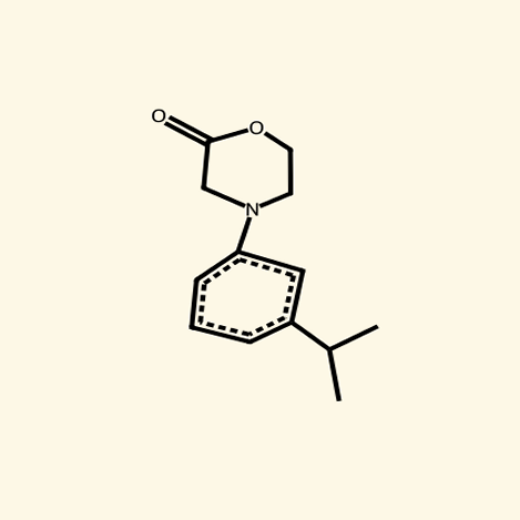 CC(C)c1cccc(N2CCOC(=O)C2)c1